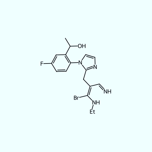 CCN/C(Br)=C(\C=N)Cc1nccn1-c1ccc(F)cc1C(C)O